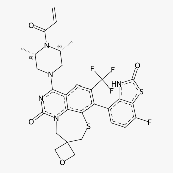 C=CC(=O)N1[C@H](C)CN(c2nc(=O)n3c4c(c(-c5ccc(F)c6sc(=O)[nH]c56)c(C(F)(F)F)cc24)SCC2(COC2)C3)C[C@@H]1C